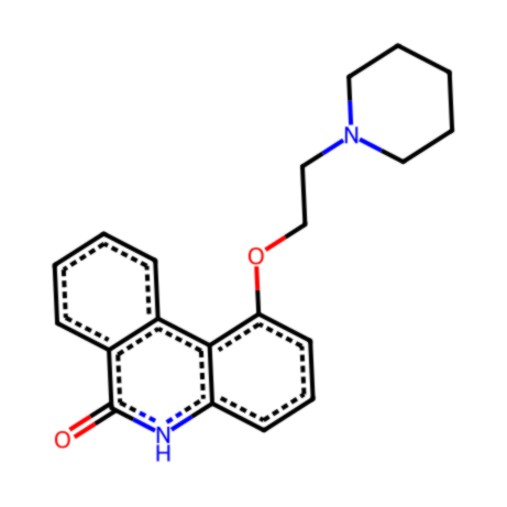 O=c1[nH]c2cccc(OCCN3CCCCC3)c2c2ccccc12